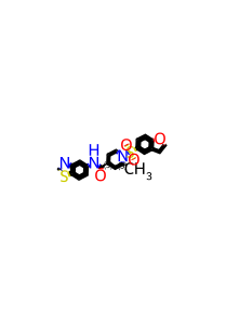 C[C@H]1C[C@@H](C(=O)Nc2ccc3scnc3c2)CCN1S(=O)(=O)c1ccc2c(c1)CCO2